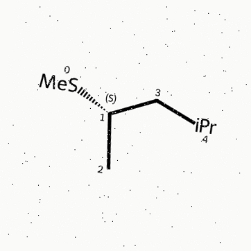 CS[C@@H](C)CC(C)C